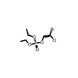 CCOP(=O)(O/C=C(\Cl)Br)OCC